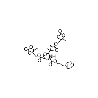 Cc1oc(=O)oc1COC(=O)SC[C@H](NC(=O)C(C)(C)SC(=O)OCc1oc(=O)oc1C)C(=O)OCCCN1CCOCC1